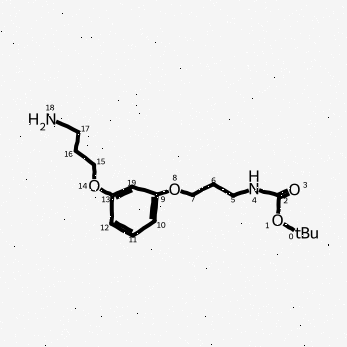 CC(C)(C)OC(=O)NCCCOc1cccc(OCCCN)c1